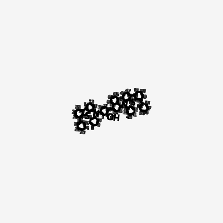 Oc1cc(N(c2ccccc2)c2cccc3c2sc2c(-c4ccccc4)cccc23)ccc1-c1ccc(N(c2ccccc2)c2cccc3c2sc2c(-c4ccccc4)cccc23)c2ccccc12